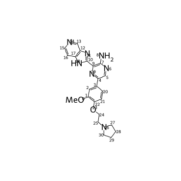 COc1cc(-c2cnc(N)c(-c3nc4cnccc4[nH]3)n2)ccc1OCCN1CCCC1